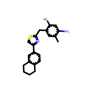 Cc1cc(Cc2nc(-c3ccc4c(c3)CCCC4)cs2)c(C#N)cc1N